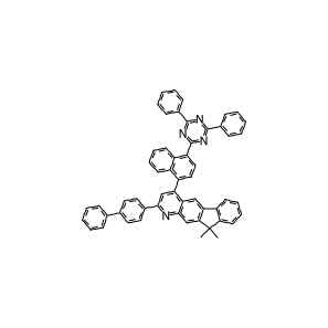 CC1(C)c2ccccc2-c2cc3c(-c4ccc(-c5nc(-c6ccccc6)nc(-c6ccccc6)n5)c5ccccc45)cc(-c4ccc(-c5ccccc5)cc4)nc3cc21